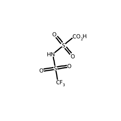 O=C(O)S(=O)(=O)NS(=O)(=O)C(F)(F)F